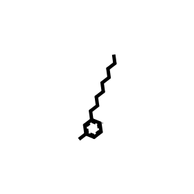 CCCCCCCCCc1[c]ccc(C)c1